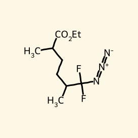 CCOC(=O)C(C)CCC(C)C(F)(F)N=[N+]=[N-]